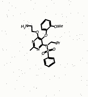 COc1ccccc1Oc1c(OCCN)nc(C)nc1N(CC(C)C)S(=O)(=O)c1ccccc1